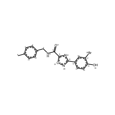 Cc1ccc(CNC(=O)c2nc(-c3ccc(O)c(Br)c3)no2)cc1